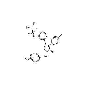 Cc1ccc(N2C(=O)C(Nc3ccc(CF)cc3)=CC2c2cccc(OC(F)(F)C(F)F)c2)cc1